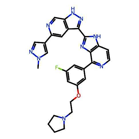 Cn1cc(-c2cc3c(-c4nc5c(-c6cc(F)cc(OCCN7CCCC7)c6)nccc5[nH]4)n[nH]c3cn2)cn1